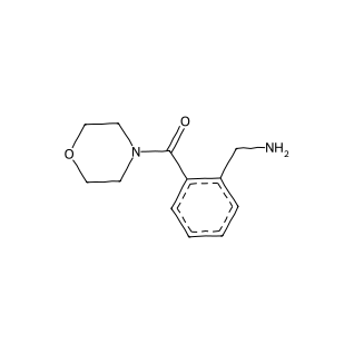 NCc1ccccc1C(=O)N1CCOCC1